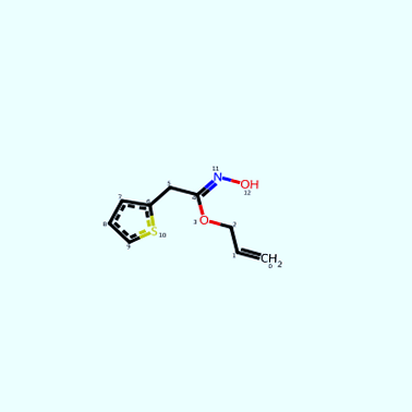 C=CCOC(Cc1cccs1)=NO